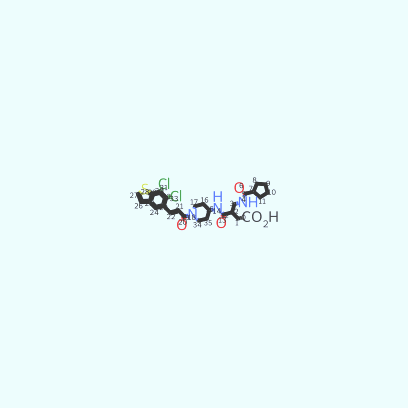 O=C(O)CC(CNC(=O)C1CCCC1)C(=O)NC1CCN(C(=O)/C=C/c2cc3ccsc3c(Cl)c2Cl)CC1